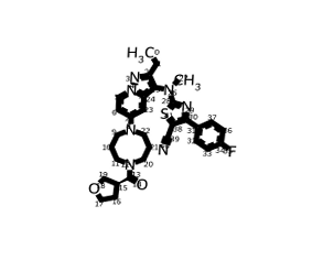 CCc1nn2ccc(N3CCCN(C(=O)[C@H]4CCOC4)CCC3)cc2c1N(C)c1nc(-c2ccc(F)cc2)c(C#N)s1